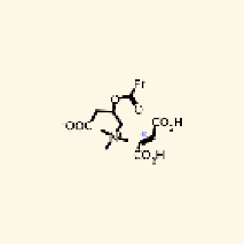 CCC(=O)OC(CC(=O)[O-])C[N+](C)(C)C.O=C(O)/C=C/C(=O)O